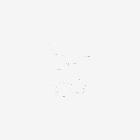 OCCN(CCO)CCO.c1ccc2[nH]cnc2c1